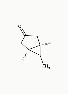 CC1[C@H]2CC(=O)C[C@@H]12